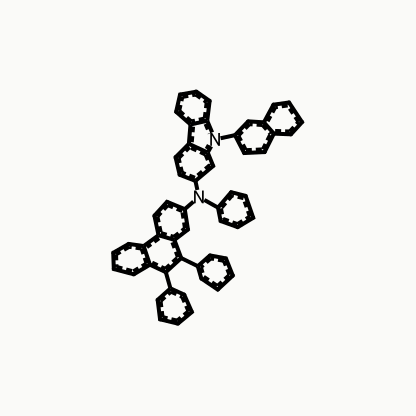 c1ccc(-c2c(-c3ccccc3)c3cc(N(c4ccccc4)c4ccc5c6ccccc6n(-c6ccc7ccccc7c6)c5c4)ccc3c3ccccc23)cc1